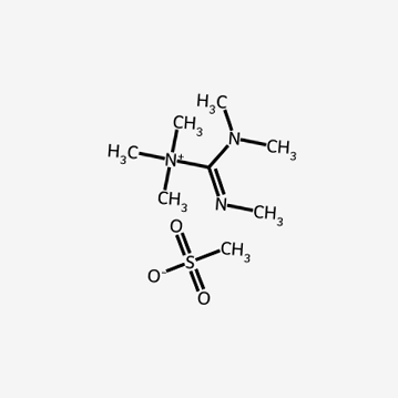 C/N=C(\N(C)C)[N+](C)(C)C.CS(=O)(=O)[O-]